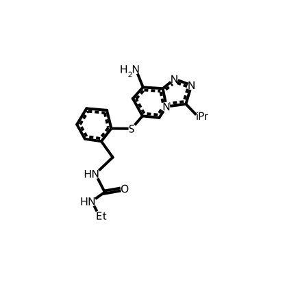 CCNC(=O)NCc1ccccc1Sc1cc(N)c2nnc(C(C)C)n2c1